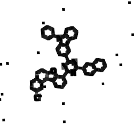 Clc1ccc2ccc3oc4c(-c5nc(-c6ccc7ccccc7c6)nc(-c6ccc7c(c6)c6ccccc6n7-c6ccccc6)n5)cccc4c3c2c1